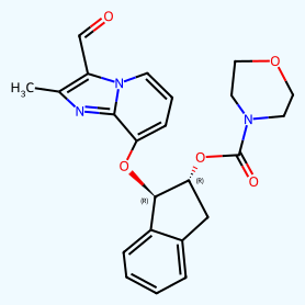 Cc1nc2c(O[C@@H]3c4ccccc4C[C@H]3OC(=O)N3CCOCC3)cccn2c1C=O